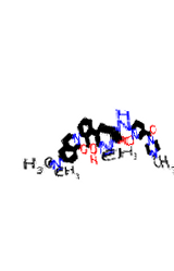 CN1CCN(C(=O)c2ccc(Nc3cc(-c4cccc(N5CCc6cc(N(C)C)ccc6C5=O)c4CO)cn(C)c3=O)nc2)CC1